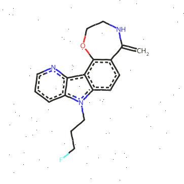 C=C1NCCOc2c1ccc1c2c2ncccc2n1CCCF